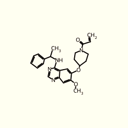 C=CC(=O)N1CCC(Oc2cc3c(NC(C)c4ccccc4)ncnc3cc2OC)CC1